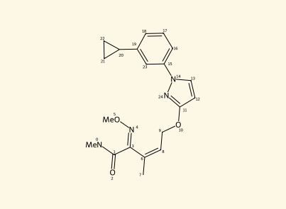 CNC(=O)C(=NOC)C(C)=CCOc1ccn(-c2cccc(C3CC3)c2)n1